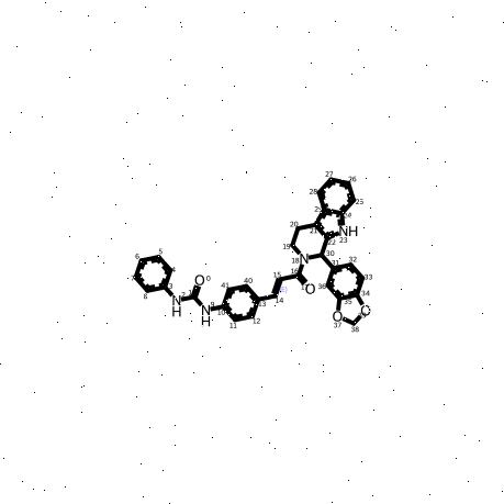 O=C(Nc1ccccc1)Nc1ccc(/C=C/C(=O)N2CCc3c([nH]c4ccccc34)C2c2ccc3c(c2)OCO3)cc1